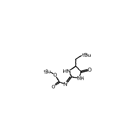 CC(C)(C)CC1NC(=NC(=O)OC(C)(C)C)NC1=O